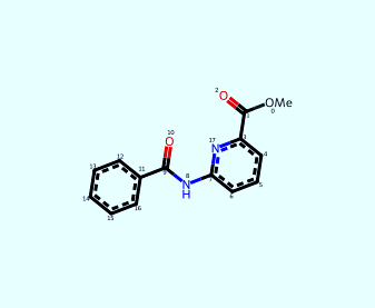 COC(=O)c1cccc(NC(=O)c2ccccc2)n1